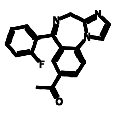 CC(=O)c1ccc2c(c1)C(c1ccccc1F)=NCc1nccn1-2